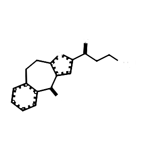 O=C(O)CCC(=O)c1cc2c(s1)CCc1ccccc1C2=O